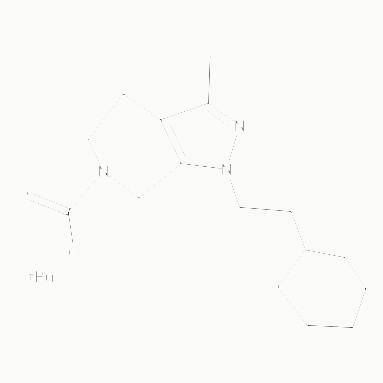 Cc1nn(CCC2CCCCC2)c2c1CCN(C(=O)OC(C)(C)C)C2